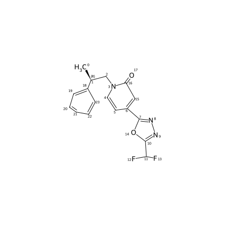 C[C@@H](Cn1ccc(-c2nnc(C(F)F)o2)cc1=O)c1ccccc1